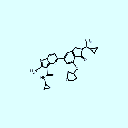 C[C@@H](C1CC1)N1Cc2cc(-c3ccn4nc(N)c(C(=O)NC5CC5)c4n3)cc(O[C@H]3CCOC3)c2C1=O